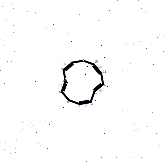 [C]1=C/C=C\C/C=C/C=C\C\C=C/1